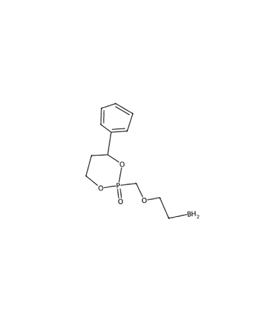 BCCOCP1(=O)OCCC(c2ccccc2)O1